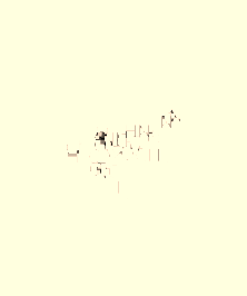 Cc1cc(NC(=O)CCn2ccnc2)cc(C)c1Oc1cc(NS(=O)(=O)CCCCl)cc(-c2c(C)noc2C)c1